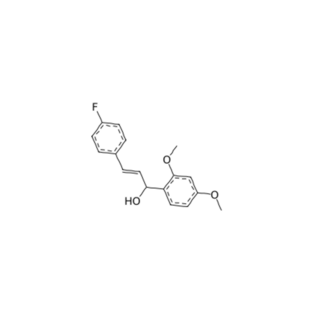 COc1ccc(C(O)/C=C/c2ccc(F)cc2)c(OC)c1